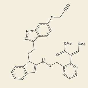 C#CCOc1ccc2c(CCC3C(NOCc4ccccc4C(=COC)C(=O)OC)=Cc4ccccc43)onc2c1